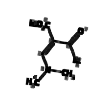 CCOC(=O)C(=CN(C)C)C(=O)CC